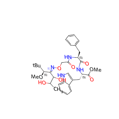 COC(=O)[C@H](Cc1c[nH]c2ccccc12)NC(=O)[C@H](Cc1ccccc1)NC(=O)CO/N=C(\C(O)C(C)O)[C@@H](OC)C(C)(C)C